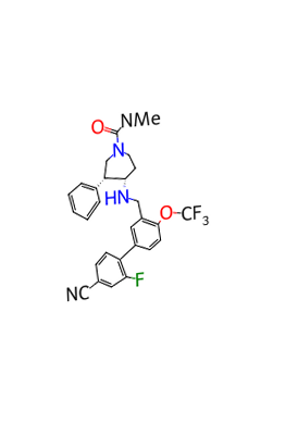 CNC(=O)N1CC[C@H](NCc2cc(-c3ccc(C#N)cc3F)ccc2OC(F)(F)F)[C@H](c2ccccc2)C1